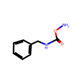 NOC(=O)NCc1ccccc1